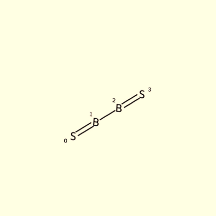 S=BB=S